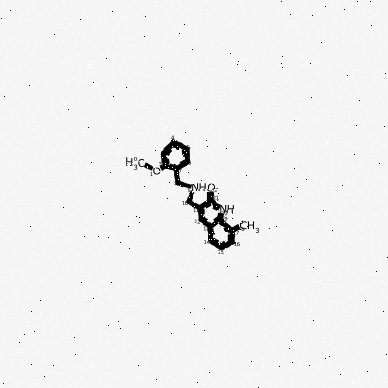 COc1ccccc1CNCc1cc2cccc(C)c2[nH]c1=O